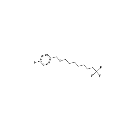 FC(F)(F)CCCCCCCOCc1ccc(I)cc1